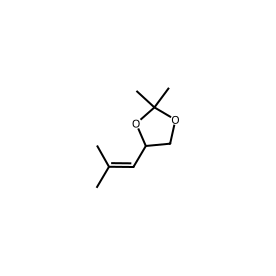 CC(C)=CC1COC(C)(C)O1